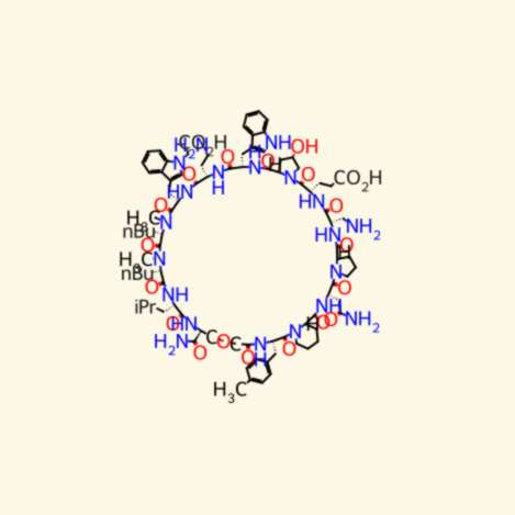 CCCC[C@H]1C(=O)N(C)[C@@H](CCCC)C(=O)N[C@@H](CC(C)C)C(=O)N[C@H](C(N)=O)COCC(=O)N[C@@H](Cc2ccc(C)cc2)C(=O)N2CCCC[C@H]2C(=O)N[C@@H](CC(N)=O)C(=O)N2CCC[C@H]2C(=O)N[C@@H](CN)C(=O)N[C@@H](CCC(=O)O)C(=O)N2C[C@H](O)C[C@H]2C(=O)N[C@@H](Cc2c[nH]c3ccccc23)C(=O)N[C@@H](CCN)C(=O)N[C@@H](Cc2cn(CC(=O)O)c3ccccc23)C(=O)N1C